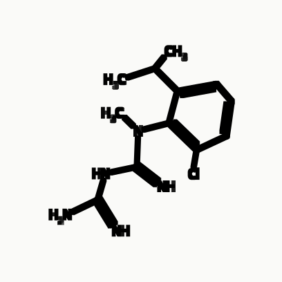 CC(C)c1cccc(Cl)c1N(C)C(=N)NC(=N)N